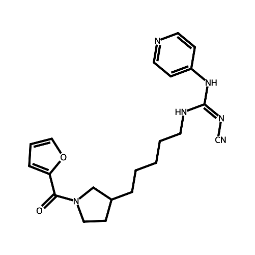 N#CN=C(NCCCCCC1CCN(C(=O)c2ccco2)C1)Nc1ccncc1